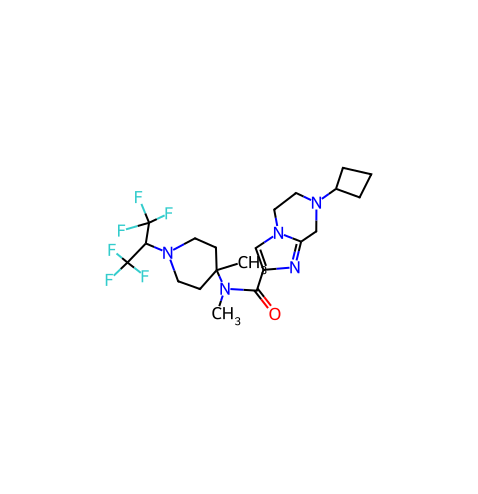 CN(C(=O)c1cn2c(n1)CN(C1CCC1)CC2)C1(C)CCN(C(C(F)(F)F)C(F)(F)F)CC1